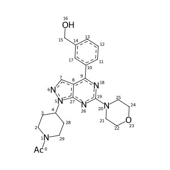 CC(=O)N1CCC(n2ncc3c(-c4cccc(CO)c4)nc(N4CCOCC4)nc32)CC1